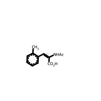 CC(=O)N/C(=C/c1ccccc1C)C(=O)O